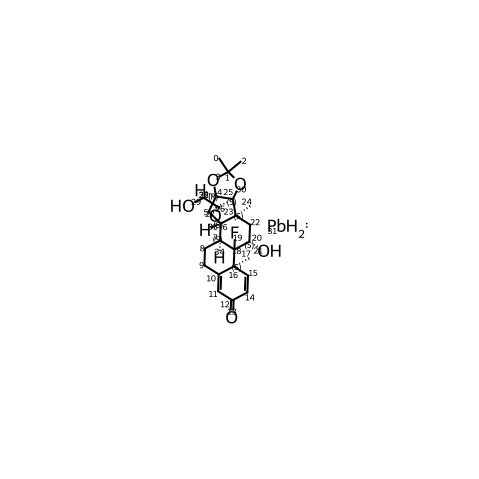 CC1(C)O[C@@H]2C[C@H]3[C@@H]4CCC5=CC(=O)C=C[C@]5(C)C4(F)[C@@H](O)C[C@]3(C)[C@]2(C(=O)CO)O1.[PbH2]